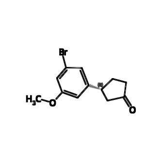 COc1cc(Br)cc([C@@H]2CCC(=O)C2)c1